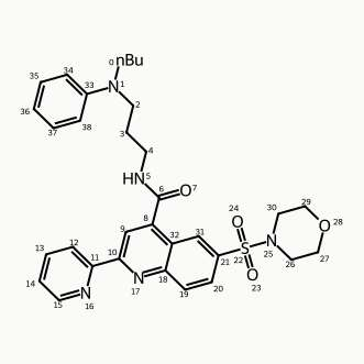 CCCCN(CCCNC(=O)c1cc(-c2ccccn2)nc2ccc(S(=O)(=O)N3CCOCC3)cc12)c1ccccc1